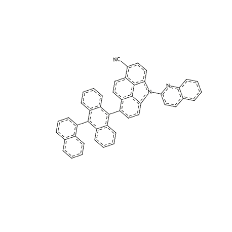 N#Cc1ccc2c3c1ccc1c(-c4c5ccccc5c(-c5cccc6ccccc56)c5ccccc45)ccc(c13)n2-c1ccc2ccccc2n1